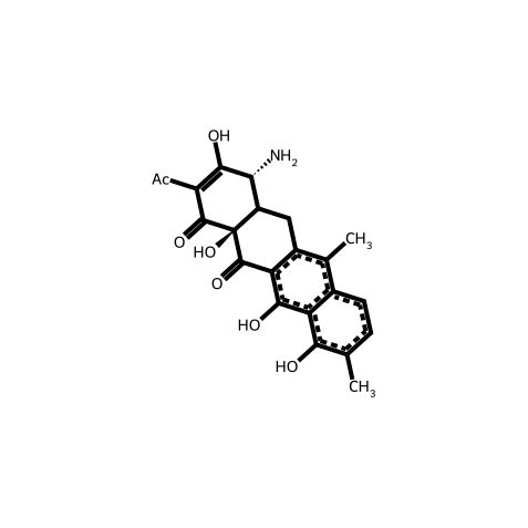 CC(=O)C1=C(O)[C@H](N)C2Cc3c(c(O)c4c(O)c(C)ccc4c3C)C(=O)[C@]2(O)C1=O